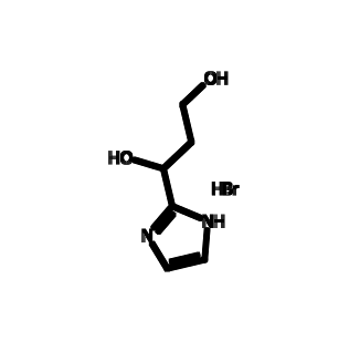 Br.OCCC(O)c1ncc[nH]1